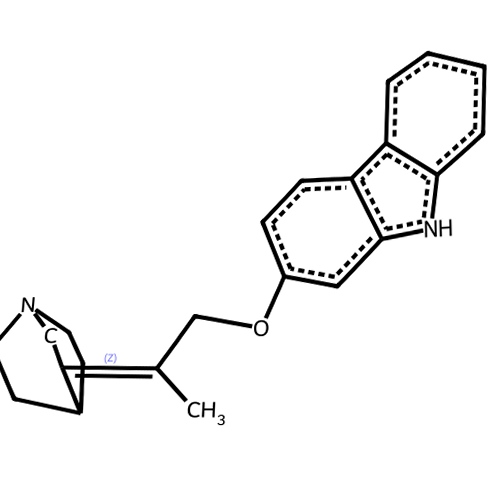 C/C(COc1ccc2c(c1)[nH]c1ccccc12)=C1/CN2CCC1CC2